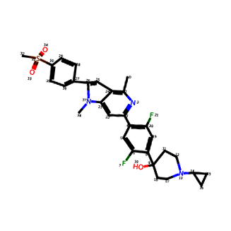 Cc1nc(-c2cc(F)c(C3(O)CCN(C4CC4)CC3)cc2F)cc2c1cc(-c1ccc(S(C)(=O)=O)cc1)n2C